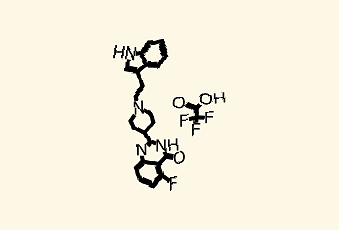 O=C(O)C(F)(F)F.O=c1[nH]c(C2CCN(CCc3c[nH]c4ccccc34)CC2)nc2cccc(F)c12